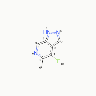 Cc1ncc2[nH]ncc2c1F